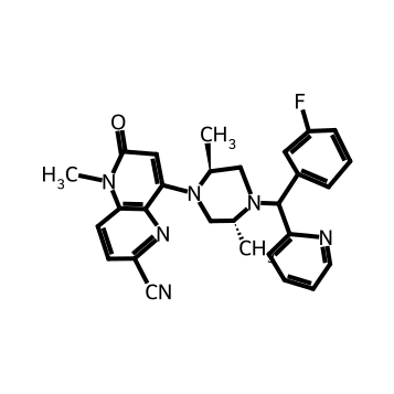 C[C@@H]1CN(c2cc(=O)n(C)c3ccc(C#N)nc23)[C@@H](C)CN1C(c1cccc(F)c1)c1ccccn1